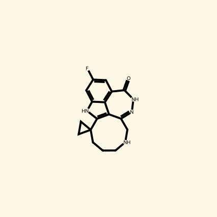 O=C1NN=C2CNCCCC3(CC3)c3[nH]c4cc(F)cc1c4c32